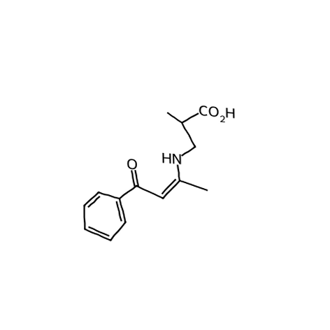 CC(=CC(=O)c1ccccc1)NCC(C)C(=O)O